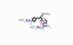 CC(=O)Nc1nc(CCc2ccc(NC=NC(=O)O)cc2)c(C(=O)N2CCC[C@@H]2C(=O)N(C)C)s1.NC(=O)O